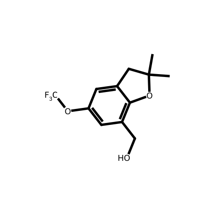 CC1(C)Cc2cc(OC(F)(F)F)cc(CO)c2O1